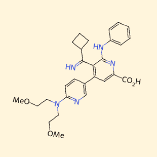 COCCN(CCOC)c1ccc(-c2cc(C(=O)O)nc(Nc3ccccc3)c2C(=N)C2CCC2)cn1